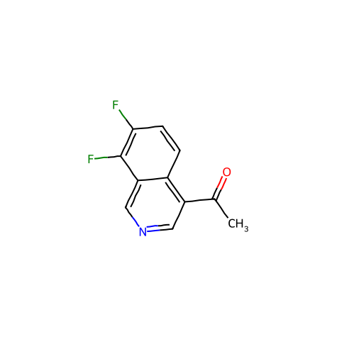 CC(=O)c1cncc2c(F)c(F)ccc12